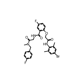 Cc1cc(Br)cc(C)c1NC(=O)COc1ccc(F)cc1C(=O)NCC(=O)N(C)Cc1ccc(F)cc1